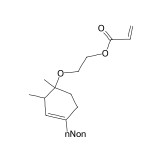 C=CC(=O)OCCOC1(C)CCC(CCCCCCCCC)=CC1C